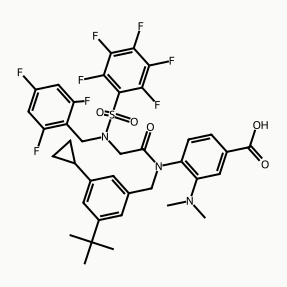 CN(C)c1cc(C(=O)O)ccc1N(Cc1cc(C2CC2)cc(C(C)(C)C)c1)C(=O)CN(Cc1c(F)cc(F)cc1F)S(=O)(=O)c1c(F)c(F)c(F)c(F)c1F